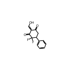 O=C1CC(c2ccccc2)C(F)(F)C(=O)C1=CO